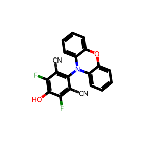 N#Cc1c(F)c(O)c(F)c(C#N)c1N1c2ccccc2Oc2ccccc21